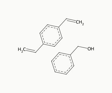 C=Cc1ccc(C=C)cc1.OCc1ccccc1